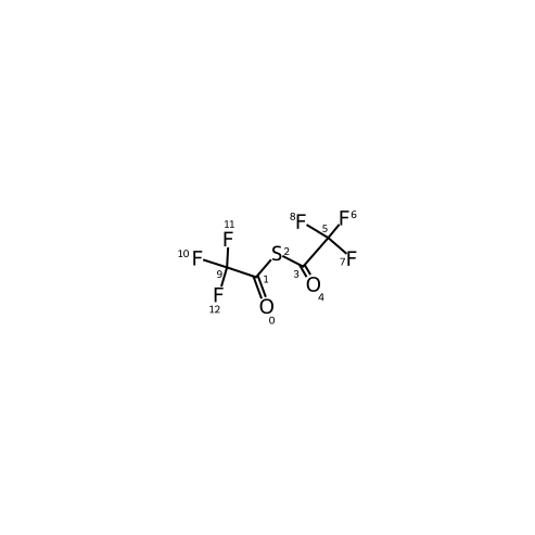 O=C(SC(=O)C(F)(F)F)C(F)(F)F